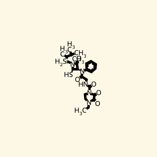 CCN1CCN(C(=O)NCC(=O)N(c2ccccc2)[C@@H]2C(=O)N([SiH2]C(C)C(C)(C)C)[C@@H]2S)C(=O)C1=O